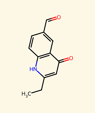 CCc1cc(=O)c2cc(C=O)ccc2[nH]1